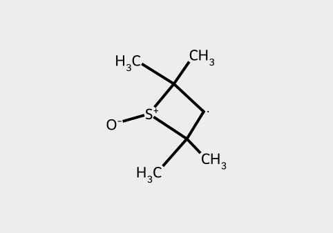 CC1(C)[CH]C(C)(C)[S+]1[O-]